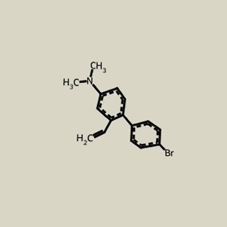 C=Cc1cc(N(C)C)ccc1-c1ccc(Br)cc1